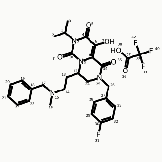 CC(C)n1c(=O)c(O)c2n(c1=O)C(CCN(C)Cc1ccccc1)CN(Cc1ccc(F)cc1)C2=O.O=C(O)C(F)(F)F